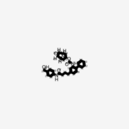 C[N+]1(C)[C@@H]2C[C@@H](OC(=O)Nc3cc(CCCC(=O)Nc4ccc(CO)cc4)ccc3-c3ccccc3)C[C@H]1[C@@H]1O[C@@H]12